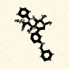 CC(=O)N1C=C(c2cccc(OCc3ccccc3)c2)N(N(C(C)=O)[C@@H](Cc2ccccc2)C(=O)C(=O)O)C(=O)[C@H]1C(C)C